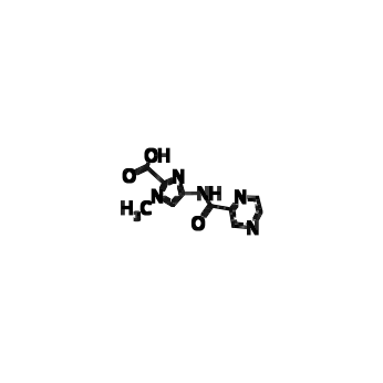 Cn1cc(NC(=O)c2cnccn2)nc1C(=O)O